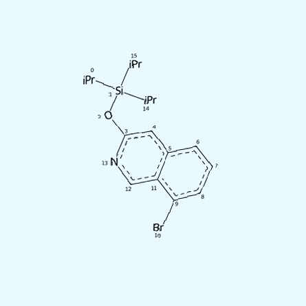 CC(C)[Si](Oc1cc2cccc(Br)c2cn1)(C(C)C)C(C)C